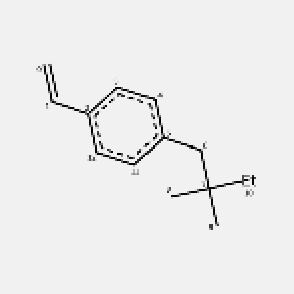 C=Cc1ccc(CC(C)(C)CC)cc1